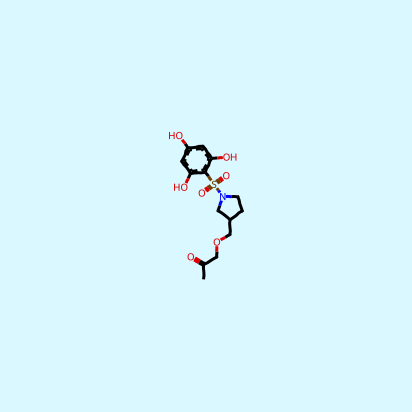 CC(=O)COCC1CCN(S(=O)(=O)c2c(O)cc(O)cc2O)C1